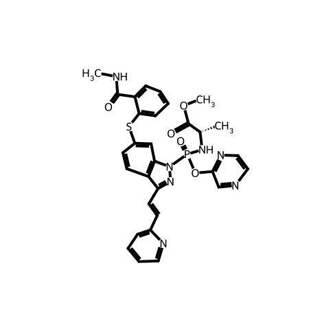 CNC(=O)c1ccccc1Sc1ccc2c(/C=C/c3ccccn3)nn(P(=O)(N[C@@H](C)C(=O)OC)Oc3cnccn3)c2c1